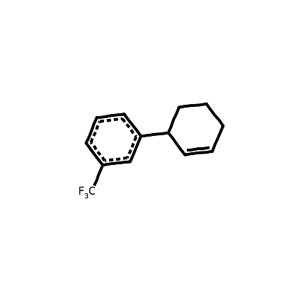 FC(F)(F)c1cccc(C2C=CCCC2)c1